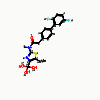 CSc1sc(N(C)C(=O)Cc2ccc(-c3cc(F)ccc3F)cc2)nc1C(O)(O)O